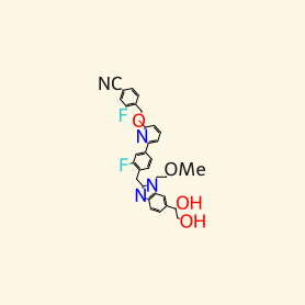 COCCn1c(Cc2ccc(-c3cccc(OCc4ccc(C#N)cc4F)n3)cc2F)nc2ccc([C@@H](O)CO)cc21